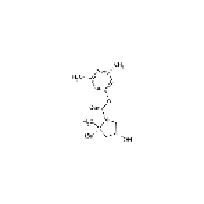 Cc1cc(OC(=O)N2C[C@H](O)C[C@]2(C)C(C)(C)C)cc(C)n1